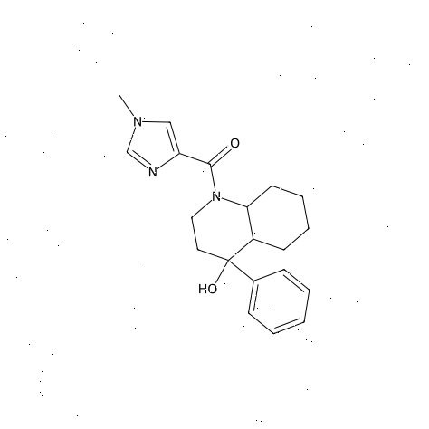 Cn1cnc(C(=O)N2CCC(O)(c3ccccc3)C3CCCCC32)c1